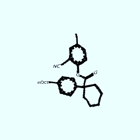 CCCCCCCCc1ccc(C2(C(=O)Oc3ccc(C)cc3C#N)CCCCC2)cc1